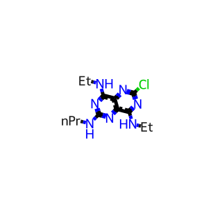 CCCNc1nc(NCC)c2nc(Cl)nc(NCC)c2n1